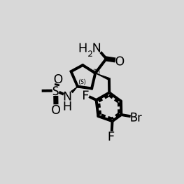 CS(=O)(=O)N[C@H]1CC[C@](Cc2cc(Br)c(F)cc2F)(C(N)=O)C1